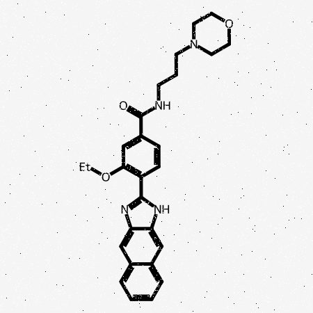 CCOc1cc(C(=O)NCCCN2CCOCC2)ccc1-c1nc2cc3ccccc3cc2[nH]1